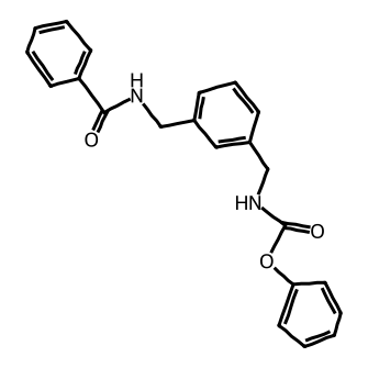 O=C(NCc1cccc(CNC(=O)c2ccccc2)c1)Oc1ccccc1